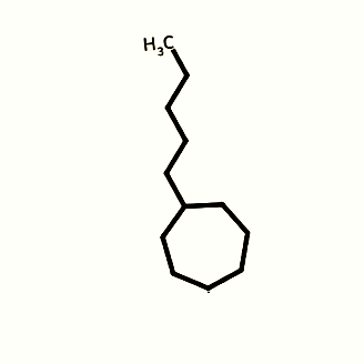 CCCCCC1CC[CH]CCC1